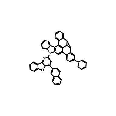 c1ccc(-c2ccc3c(c2)C2C4c5ccccc5-c5c(c-3cc3c5c5ccccc5n3-c3nc(-c5ccc6ccccc6c5)c5oc6ccccc6c5n3)C24)cc1